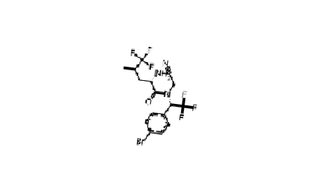 CC(C[C@H](N)C(=O)N(CC#N)[C@@H](c1ccc(Br)cc1)C(F)(F)F)C(F)(F)F